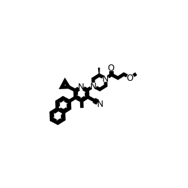 COCCC(=O)N1CCN(c2nc(C3CC3)c(-c3ccc4ccccc4c3)c(C)c2C#N)C[C@H]1C